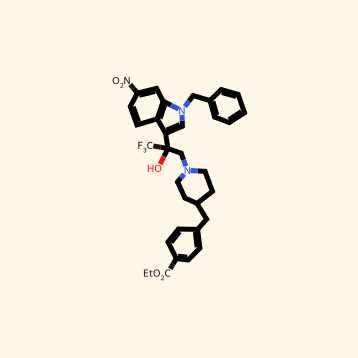 CCOC(=O)c1ccc(CC2CCN(CC(O)(c3cn(Cc4ccccc4)c4cc([N+](=O)[O-])ccc34)C(F)(F)F)CC2)cc1